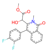 COC(=O)C(O)c1c(-c2ccc(F)c(F)c2)c2ccccc2c(=O)n1C